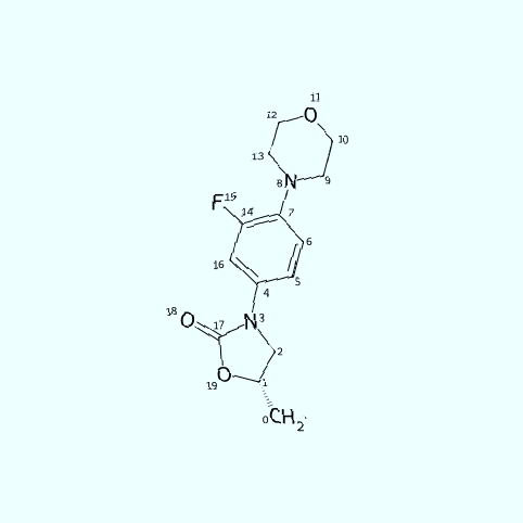 [CH2][C@H]1CN(c2ccc(N3CCOCC3)c(F)c2)C(=O)O1